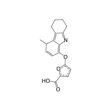 CC1C=CC(Oc2ccc(C(=O)O)o2)=C2N=C3CCCCC3=C21